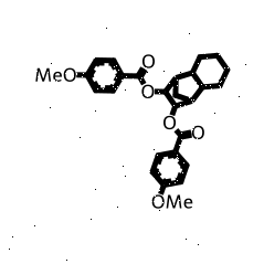 COc1ccc(C(=O)OC2C3CC(C4CCCCC43)C2OC(=O)c2ccc(OC)cc2)cc1